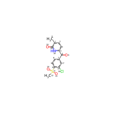 Cc1ccc(C(=O)c2ccc(S(C)(=O)=O)c(Cl)c2)[nH]c1=O